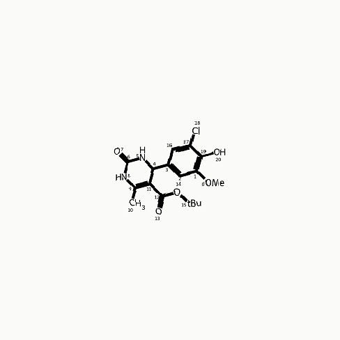 COc1cc(C2NC(=O)NC(C)=C2C(=O)OC(C)(C)C)cc(Cl)c1O